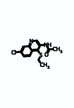 CCSc1c(NC(C)=O)cnc2cc(Cl)ccc12